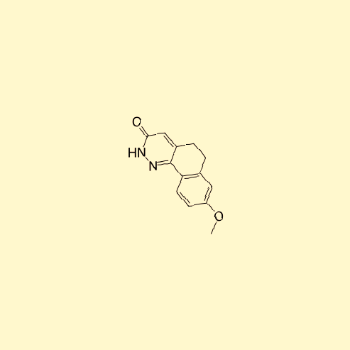 COc1ccc2c(c1)CCc1cc(=O)[nH]nc1-2